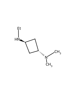 CCN[C@H]1C[C@H](N(C)C)C1